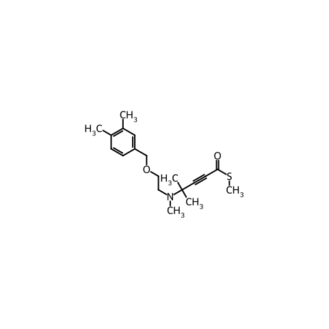 CSC(=O)C#CC(C)(C)N(C)CCOCc1ccc(C)c(C)c1